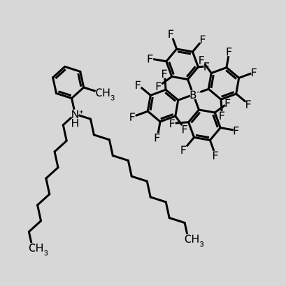 CCCCCCCCCCCC[NH+](CCCCCCCCCC)c1ccccc1C.Fc1c(F)c(F)c([B-](c2c(F)c(F)c(F)c(F)c2F)(c2c(F)c(F)c(F)c(F)c2F)c2c(F)c(F)c(F)c(F)c2F)c(F)c1F